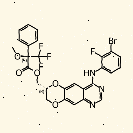 CO[C@@](C(=O)OC[C@H]1COc2cc3ncnc(Nc4cccc(Br)c4F)c3cc2O1)(c1ccccc1)C(F)(F)F